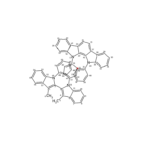 Cc1c(-c2c(C)c3ccccc3n2-c2ccc(-n3c4ccccc4c4ccc5c6ccccc6n(-c6ccccc6)c5c43)cc2)n(-c2ccccc2)c2ccccc12